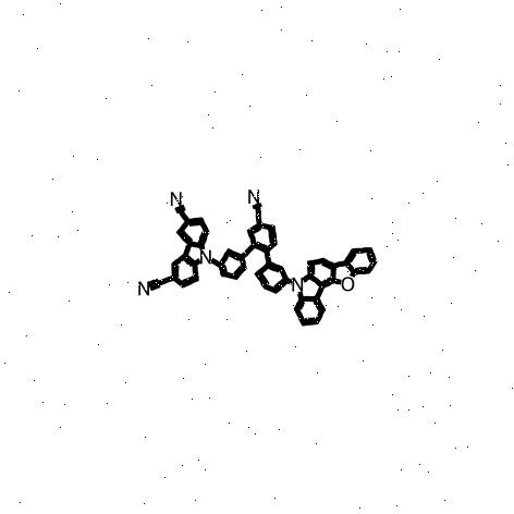 N#Cc1ccc(-c2cccc(-n3c4ccccc4c4c5oc6ccccc6c5ccc43)c2)c(-c2cccc(-n3c4ccc(C#N)cc4c4cc(C#N)ccc43)c2)c1